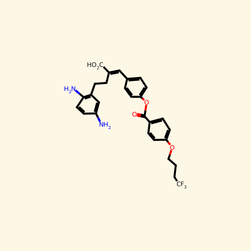 Nc1ccc(N)c(CC/C(=C\c2ccc(OC(=O)c3ccc(OCCCC(F)(F)F)cc3)cc2)C(=O)O)c1